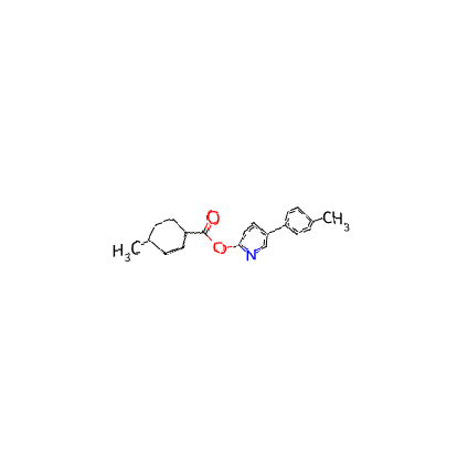 Cc1ccc(-c2ccc(OC(=O)C3CCC(C)CC3)nc2)cc1